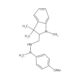 COc1ccc(N(C)NCC2N(C)c3ccccc3C2(C)C)cc1